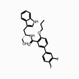 CCCOc1ccc(-c2ccc(F)c(F)c2)cc1C(=O)N[C@H](CO)Cc1c[nH]c2ccccc12